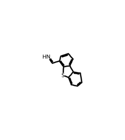 N=Cc1cccc2c1sc1ccccc12